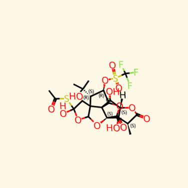 CC(=O)SC1(O)OC2O[C@@]34C(=O)OC5[C@H](OS(=O)(=O)C(F)(F)F)[C@@H](C(C)(C)C)C2([C@H]1O)C53[C@@H](O)[C@@H]1OC(=O)[C@@H](C)[C@@]14O